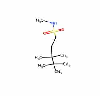 CNS(=O)(=O)CCC(C)(C)C(C)(C)C